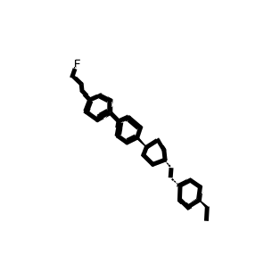 CC[C@H]1CC[C@H](CC[C@H]2CC[C@H](c3ccc(-c4ccc(CCCF)cc4)cc3)CC2)CC1